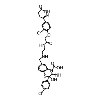 N=C1N(C(=O)O)c2cc(CNCCNC(=O)COc3ccc(C4=NNC(=O)CC4)cc3Cl)ccc2SC1(O)c1ccc(Cl)cc1